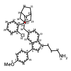 COc1ccc(-c2cn(CCCN)c3ccc(CN4CC5CCC(C4)N5Cc4ccccc4Cl)cc23)cc1